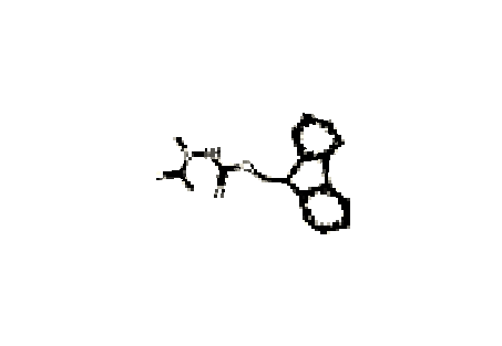 CN(NC(=O)OCC1c2ccccc2-c2ccccc21)C(=O)I